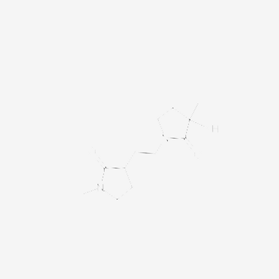 CN1CCC(CCN2CCC(C)(S)C2=O)C1=O